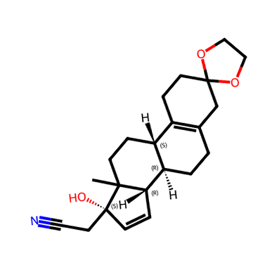 CC12CC[C@@H]3C4=C(CC[C@H]3[C@@H]1C=C[C@@]2(O)CC#N)CC1(CC4)OCCO1